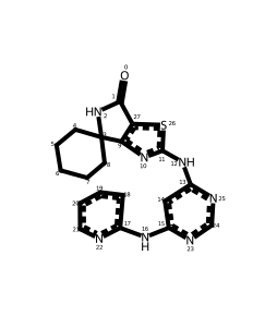 O=C1NC2(CCCCC2)c2nc(Nc3cc(Nc4ccccn4)ncn3)sc21